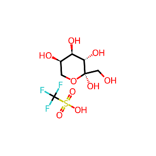 O=S(=O)(O)C(F)(F)F.OC[C@@]1(O)OC[C@@H](O)[C@@H](O)[C@@H]1O